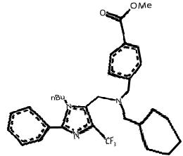 CCCCn1c(-c2ccccc2)nc(C(F)(F)F)c1CN(Cc1ccc(C(=O)OC)cc1)CC1CCCCC1